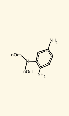 CCCCCCCCN(CCCCCCCC)c1cc(N)ccc1N